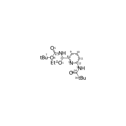 CCOC(NC(=O)OC(C)(C)C)c1cccc(NC(=O)C(C)(C)C)n1